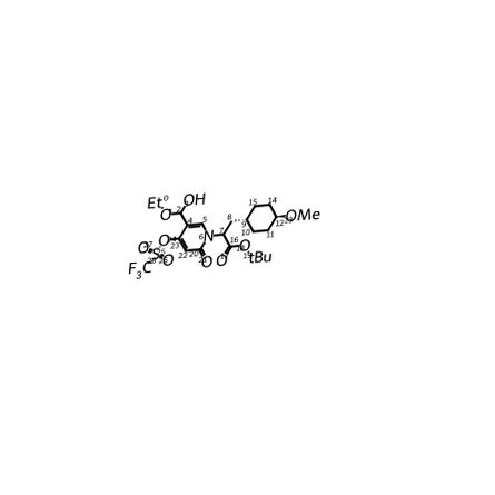 CCOC(O)c1cn(C(C[C@H]2CC[C@H](OC)CC2)C(=O)OC(C)(C)C)c(=O)cc1OS(=O)(=O)C(F)(F)F